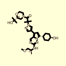 COC[C@H](C)Nc1ncc2c(-c3cnn(C(C)(C)C(=O)N4CCO[C@@H](C(C)(C)O)C4)c3)cc([C@H]3CC[C@H](O)CC3)n2n1